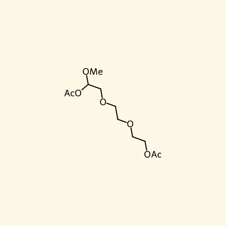 COC(COCCOCCOC(C)=O)OC(C)=O